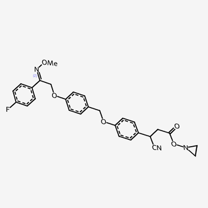 CO/N=C(\COc1ccc(COc2ccc(C(C#N)CC(=O)ON3CC3)cc2)cc1)c1ccc(F)cc1